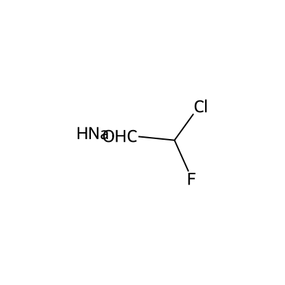 O=[C]C(F)Cl.[NaH]